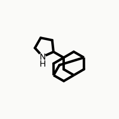 C1CNC(C23CC4CC(CC(C4)C2)C3)C1